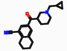 N#Cc1cc(C(=O)C2CCCN(CC3CC3)C2)cc2c1CCCC2